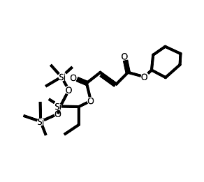 CCC(OC(=O)/C=C/C(=O)OC1CCCCC1)[Si](C)(O[Si](C)(C)C)O[Si](C)(C)C